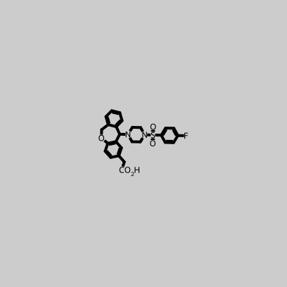 O=C(O)Cc1ccc2c(c1)C(N1CCN(S(=O)(=O)c3ccc(F)cc3)CC1)c1ccccc1CO2